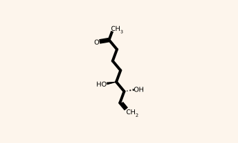 C=C[C@@H](O)[C@@H](O)CCCC(C)=O